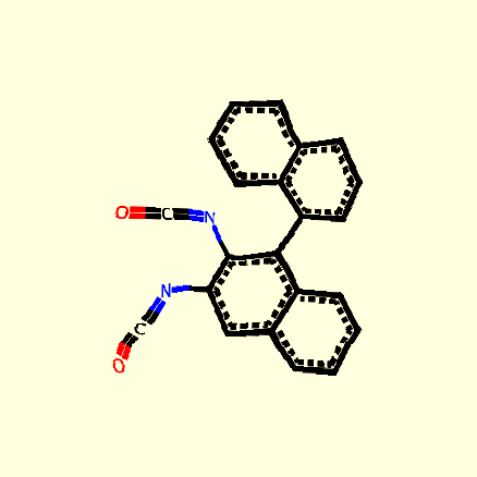 O=C=Nc1cc2ccccc2c(-c2cccc3ccccc23)c1N=C=O